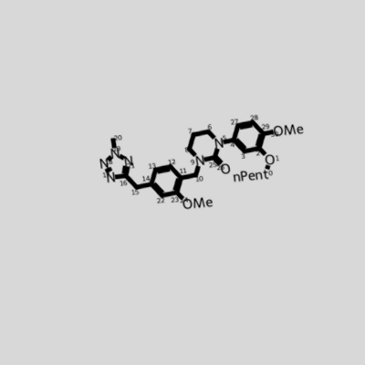 CCCCCOc1cc(N2CCCN(Cc3ccc(Cc4nnn(C)n4)cc3OC)C2=O)ccc1OC